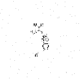 COP(=O)(CCC(N)C(=O)O)Oc1cccc(CC=O)c1